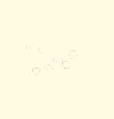 O=C(O)NCCC[C@H](NC(=O)c1cccc(-c2ccc(CO)cc2)c1)c1ncc(-c2ccc(Cl)cc2)o1